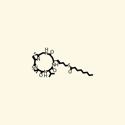 CCCCCCCC(=O)SCC/C=C/[C@@H]1CC(=O)NCc2nc(cs2)C2=N[C@@](C)(CS2)C(=O)NC(C(C)C)C(=O)N1